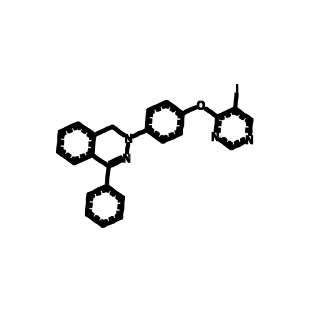 Ic1cncnc1Oc1ccc(N2Cc3ccccc3C(c3ccccc3)=N2)cc1